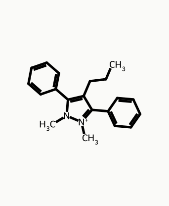 CCCc1c(-c2ccccc2)n(C)[n+](C)c1-c1ccccc1